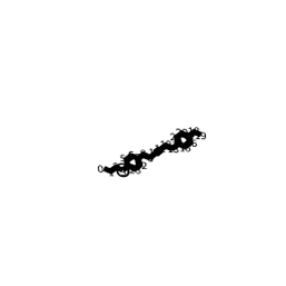 CCCOc1ccc(C=CC#CC=Cc2ccc(CC)cc2)cc1